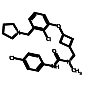 CN(CC1CC(Oc2cccc(CN3CCCC3)c2Cl)C1)C(=O)Nc1ccc(Cl)cc1